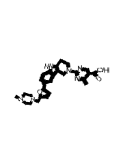 Cc1nc(N2CCc3[nH]c4ccc(-c5ccc(CN6CCN(C)CC6)o5)cc4c3C2)ncc1C(=O)O